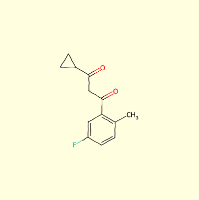 Cc1ccc(F)cc1C(=O)CC(=O)C1CC1